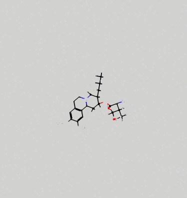 [2H]C([2H])([2H])C([2H])(C)C([2H])([2H])C1([2H])C([2H])([2H])N2CCc3cc(OC)c(OC)cc3C2C([2H])([2H])C1([2H])OC(=O)[C@@]([2H])(N)C([2H])(C([2H])([2H])[2H])C([2H])([2H])[2H]